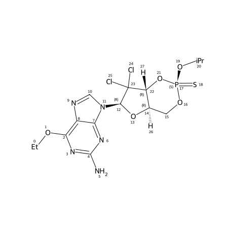 CCOc1nc(N)nc2c1ncn2[C@@H]1O[C@@H]2CO[P@](=S)(OC(C)C)O[C@H]2C1(Cl)Cl